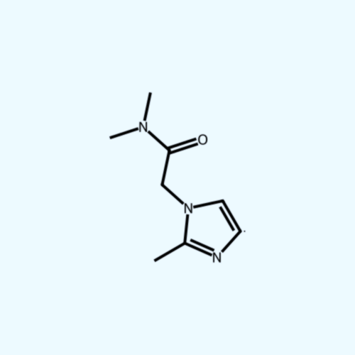 Cc1n[c]cn1CC(=O)N(C)C